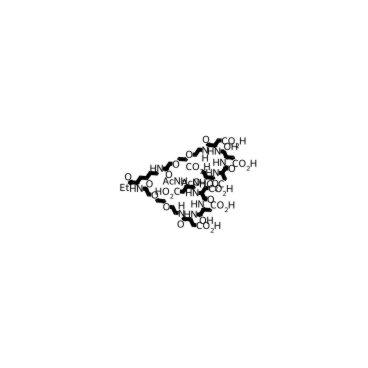 CCC(=O)C(CCCCNC(=O)COCCOCCNC(=O)C(CC(=O)O)NC(O)C(CC(=O)O)NC(=O)C(CC(=O)O)NC(=O)C(CC(=O)O)NC(C)=O)NC(=O)COCCOCCNC(=O)C(CC(=O)O)NC(O)C(CC(=O)O)NC(=O)C(CC(=O)O)NC(=O)C(CC(=O)O)NC(C)=O